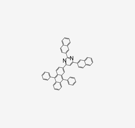 c1ccc(-c2c3ccccc3c(-c3ccccc3)c3cc(-c4cc(-c5ccc6ccccc6c5)nc(-c5ccc6ccccc6c5)n4)ccc23)cc1